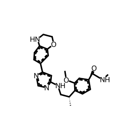 CNC(=O)c1ccc([C@H](C)CNc2cc(-c3ccc4c(c3)OCCN4)ncn2)c(OC)c1